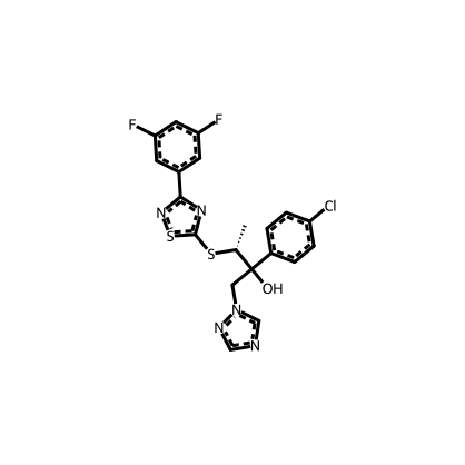 C[C@@H](Sc1nc(-c2cc(F)cc(F)c2)ns1)C(O)(Cn1cncn1)c1ccc(Cl)cc1